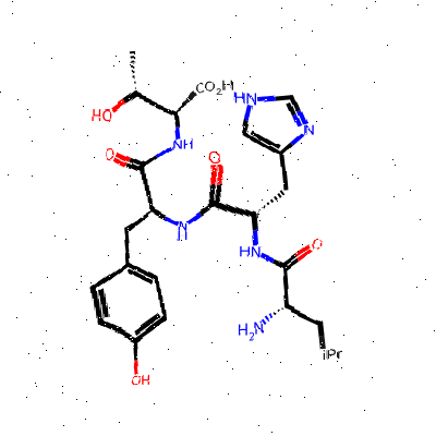 CC(C)C[C@H](N)C(=O)N[C@@H](Cc1c[nH]cn1)C(=O)N[C@@H](Cc1ccc(O)cc1)C(=O)N[C@H](C(=O)O)[C@@H](C)O